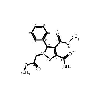 COC(=O)CN1SC(C(N)=O)=C(C(=O)OC)C1c1ccccc1